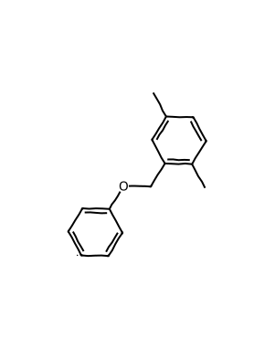 Cc1ccc(C)c(COc2cc[c]cc2)c1